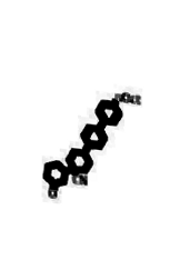 CCCCCCCCc1ccc(-c2ccc(C3CCC(C#N)(C4CCCC(=O)C4)CC3)cc2)cc1